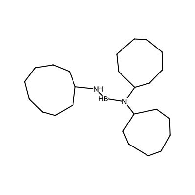 B(NC1CCCCCCCC1)N(C1CCCCCCC1)C1CCCCCCC1